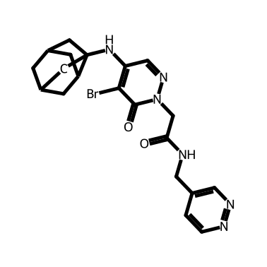 O=C(Cn1ncc(NC23CC4CC(CC2C4)C3)c(Br)c1=O)NCc1ccnnc1